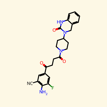 N#Cc1cc(C(=O)CCC(=O)N2CCC(N3Cc4ccccc4NC3=O)CC2)cc(F)c1N